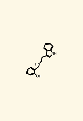 Oc1ccccc1CNCCc1c[nH]c2ccccc12